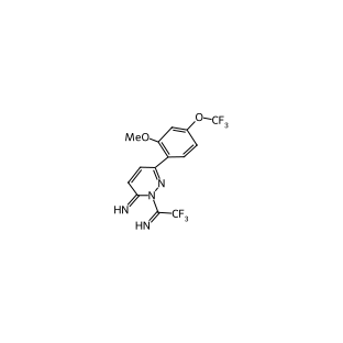 COc1cc(OC(F)(F)F)ccc1-c1ccc(=N)n(C(=N)C(F)(F)F)n1